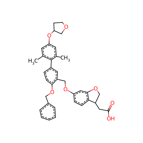 Cc1cc(OC2CCOC2)cc(C)c1-c1ccc(OCc2ccccc2)c(COc2ccc3c(c2)OCC3CC(=O)O)c1